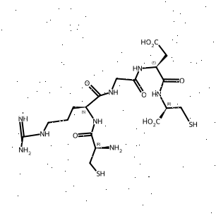 N=C(N)NCCC[C@H](NC(=O)[C@@H](N)CS)C(=O)NCC(=O)N[C@@H](CC(=O)O)C(=O)N[C@@H](CS)C(=O)O